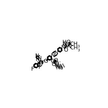 CC[C@@H]([C@H](C)O)n1ncn(-c2ccc(N3CCN(c4ccc(OC[C@@H]5CO[C@@](Cn6cncn6)(c6ccc(F)cc6F)C5)cc4)CC3)cc2)c1=O.O=P([O-])([O-])[O-].[Na+].[Na+].[Na+]